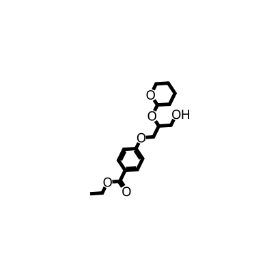 CCOC(=O)c1ccc(OCC(CO)OC2CCCCO2)cc1